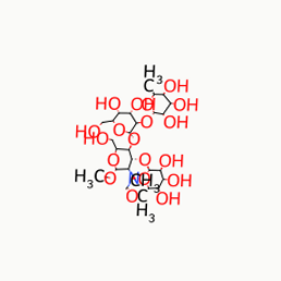 CO[C@@H]1OC(CO)[C@@H](O[C@@H]2OC(CO)[C@H](O)[C@H](O)C2O[C@@H]2OC(C)[C@@H](O)C(O)[C@@H]2O)[C@H](O[C@@H]2OC(C)[C@@H](O)C(O)[C@@H]2O)C1N(C)C=O